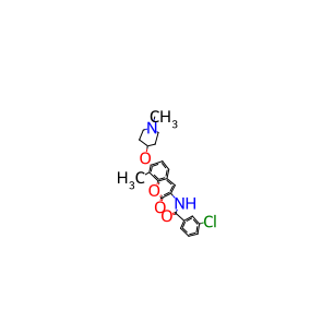 Cc1c(OC2CCN(C)CC2)ccc2cc(NC(=O)c3cccc(Cl)c3)c(=O)oc12